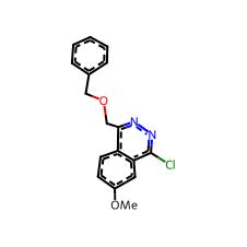 COc1ccc2c(COCc3ccccc3)nnc(Cl)c2c1